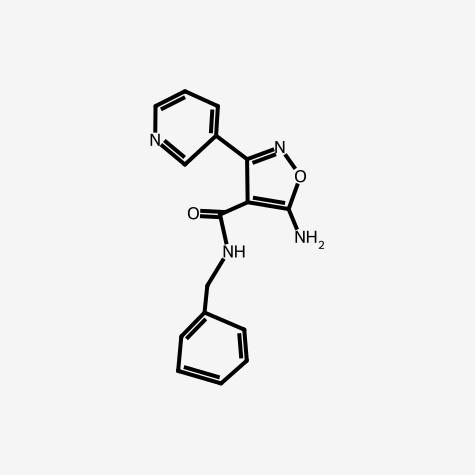 Nc1onc(-c2cccnc2)c1C(=O)NCc1ccccc1